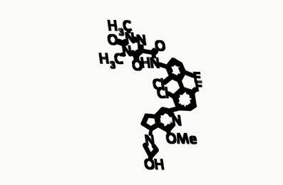 COc1nc(-c2ccc(F)c(-c3c(F)ccc(NC(=O)c4nn(C)c(=O)n(C)c4=O)c3Cl)c2Cl)cc2c1[C@@H](N1CC(O)C1)CC2